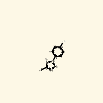 Ic1ccc(-n2nnc(I)n2)cc1